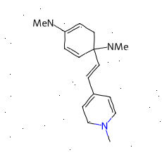 CNC1=CCC(C=CC2=CCN(C)C=C2)(NC)C=C1